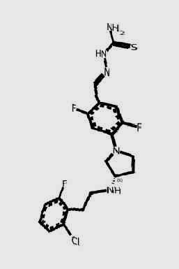 NC(=S)NN=Cc1cc(F)c(N2CC[C@H](NCCc3c(F)cccc3Cl)C2)cc1F